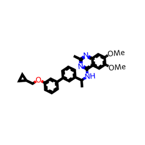 COc1cc2nc(C)nc(NC(C)c3cccc(-c4cccc(OCC5CC5)c4)c3)c2cc1OC